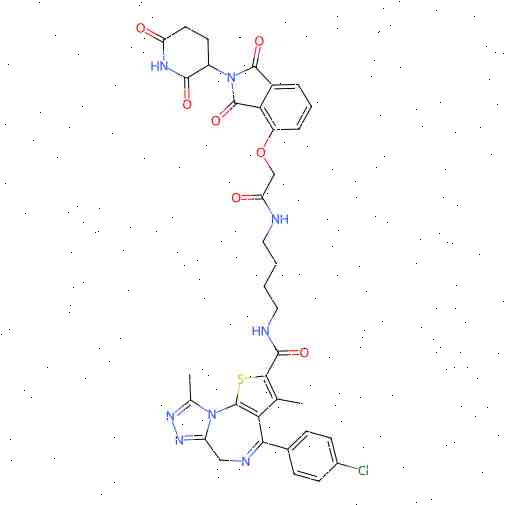 Cc1c(C(=O)NCCCCNC(=O)COc2cccc3c2C(=O)N(C2CCC(=O)NC2=O)C3=O)sc2c1C(c1ccc(Cl)cc1)=NCc1nnc(C)n1-2